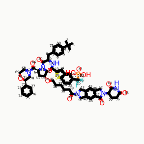 CC(C)(C)c1ccc(CC(NC(=O)c2cc3cc(C(F)(F)P(=O)(O)O)ccc3s2)C(=O)N2C[C@@H](OCCCCCC(=O)N3Cc4cc5c(cc4C3)C(=O)N(C3CCC(=O)NC3=O)C5)C[C@H]2C(=O)N2CCO[C@H](c3ccccc3)C2)cc1